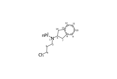 CCCN(CCCCl)C1Cc2ccccc2C1